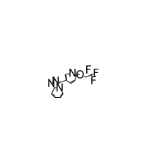 FC(F)(F)COc1ccc(-c2nnc3ccccn23)cn1